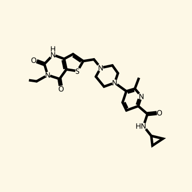 CCn1c(=O)[nH]c2cc(CN3CCN(c4ccc(C(=O)NC5CC5)nc4C)CC3)sc2c1=O